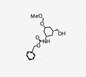 COCO[C@H]1C[C@@H](CO)C[C@@H](NC(=O)OCc2ccccc2)C1